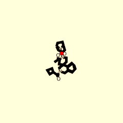 CCOC(=O)N1C2CCC1CC(N1CCC3(CC1)CN(C(=O)C1CCC1)Cc1ccccc13)C2